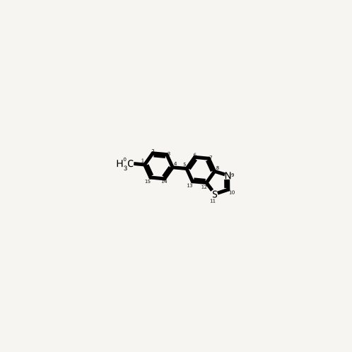 Cc1ccc(-c2ccc3ncsc3c2)cc1